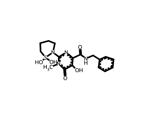 Cn1c(N2CCCCS2(O)O)nc(C(=O)NCc2ccccc2)c(O)c1=O